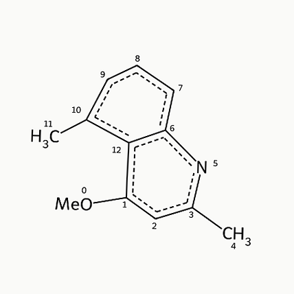 COc1cc(C)nc2cccc(C)c12